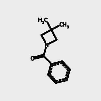 CC1(C)CN(C(=O)c2ccccc2)C1